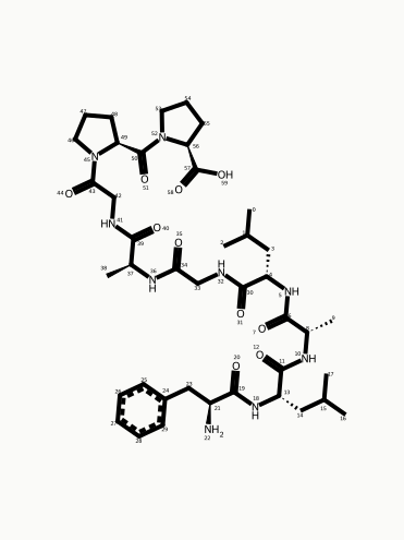 CC(C)C[C@H](NC(=O)[C@H](C)NC(=O)[C@H](CC(C)C)NC(=O)[C@@H](N)Cc1ccccc1)C(=O)NCC(=O)N[C@@H](C)C(=O)NCC(=O)N1CCC[C@H]1C(=O)N1CCC[C@H]1C(=O)O